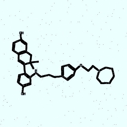 CC1(C)Cc2cc(O)ccc2C=C1c1ccc(O)cc1NCCCc1ccc(OCCN2CCCCCC2)cc1